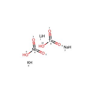 [KH].[LiH].[NaH].[O]=[Nb](=[O])[OH].[O]=[Ta](=[O])[OH]